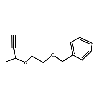 C#CC(C)OCCOCc1ccccc1